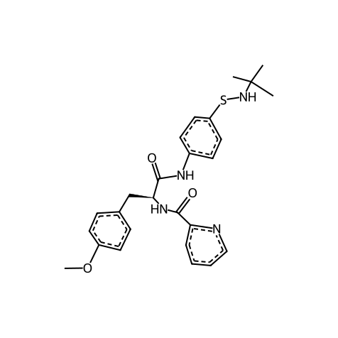 COc1ccc(C[C@H](NC(=O)c2ccccn2)C(=O)Nc2ccc(SNC(C)(C)C)cc2)cc1